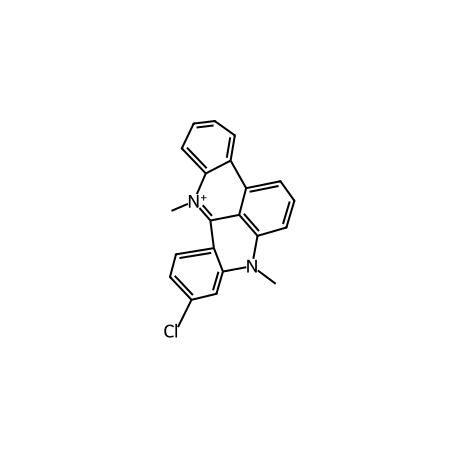 CN1c2cc(Cl)ccc2-c2c3c1cccc3c1ccccc1[n+]2C